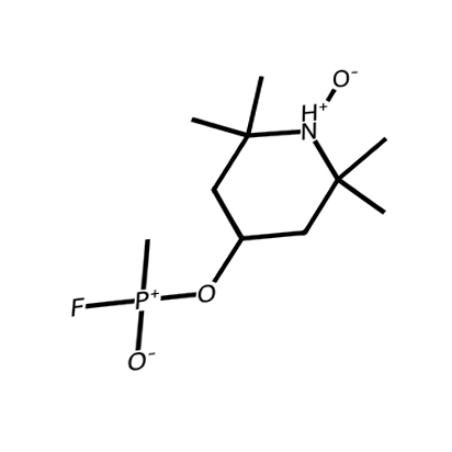 CC1(C)CC(O[P+](C)([O-])F)CC(C)(C)[NH+]1[O-]